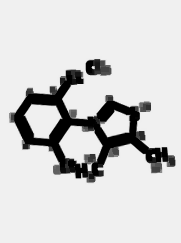 CCc1cccc(CC)c1-[n+]1csc(C)c1C.[Cl-]